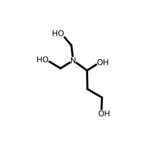 OCCC(O)N(CO)CO